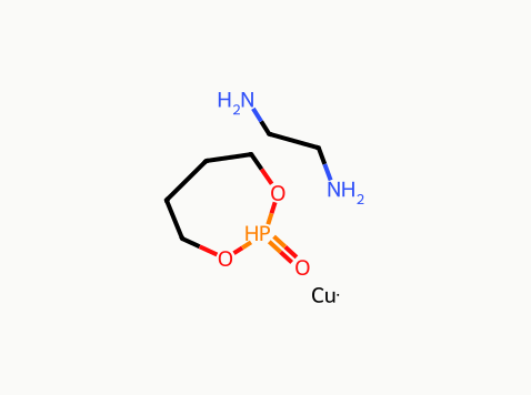 NCCN.O=[PH]1OCCCCO1.[Cu]